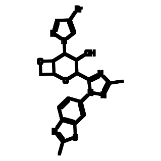 Cc1nc(C2OC3COC3C(n3cc(Br)cn3)C2O)n(-c2ccc3nc(C)sc3c2)n1